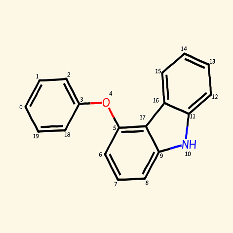 c1ccc(Oc2cccc3[nH]c4ccccc4c23)cc1